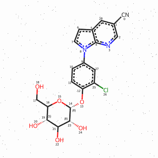 N#Cc1cnc2c(ccn2-c2ccc(O[C@H]3OC(CO)[C@@H](O)C(O)[C@H]3O)c(Cl)c2)c1